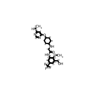 CNc1cc(OC2CCC(NCC(=O)Nc3cc(C(F)(F)F)cc(CO)c3OC)CC2)ncn1